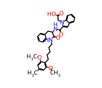 COc1cc(C)cc(OC)c1CCCCCNC(=O)C(Cc1ccccc1)NC(=O)c1cc2ccccc2n1CC(=O)O